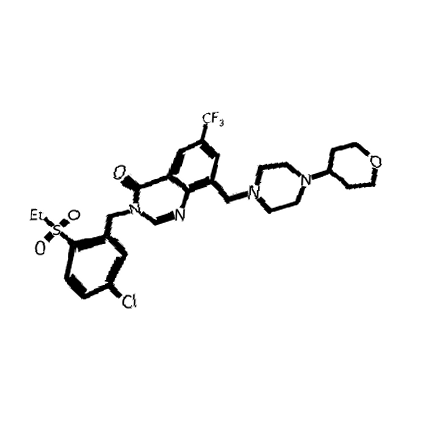 CCS(=O)(=O)c1ccc(Cl)cc1Cn1cnc2c(CN3CCN(C4CCOCC4)CC3)cc(C(F)(F)F)cc2c1=O